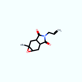 C=CCN1C(=O)C2CC3OC3(CCCC)CC2C1=O